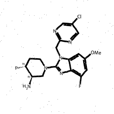 COc1cc(F)c2nc(N3CC[C@@H](F)[C@H](N)C3)n(Cc3ncc(Cl)cn3)c2c1